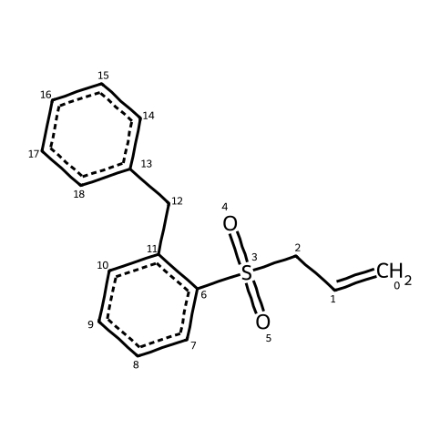 C=CCS(=O)(=O)c1ccccc1Cc1ccccc1